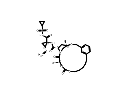 C=C[C@@H]1C[C@]1(NC(=O)[C@@H]1C[C@@H]2CN1C(=O)[C@H](C(C)C)NC(=O)OCCCCCc1cccc(c1)CO2)C(=O)NS(=O)(=O)C1CC1